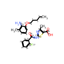 CCCCCOc1cccc(C)c1N.Cc1nc(NC(=O)c2ccccc2F)sc1C(=O)O